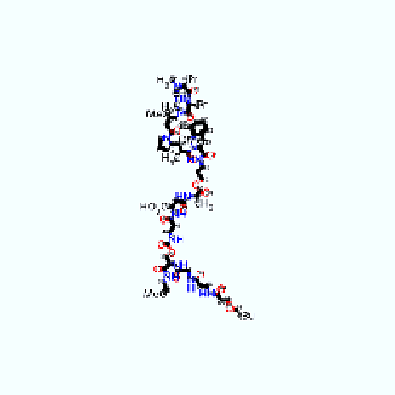 CC[C@H](C)[C@@H]([C@@H](CC(=O)N1CCC[C@H]1[C@H](OC)[C@@H](C)C(=O)N[C@@H](Cc1ccccc1)C(=O)NCCCOC(=O)C(C)NC(=O)CC(NC(=O)CCNC(=O)OCC(NC(=O)CNC(=O)CCNC(=O)CCOCC(C)(C)C)C(=O)NCCOC)C(=O)O)OC)N(C)C(=O)[C@@H](NC(=O)[C@H](C(C)C)N(C)C)C(C)C